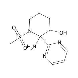 CS(=O)(=O)N1CCCC(O)C1(N)c1ncccn1